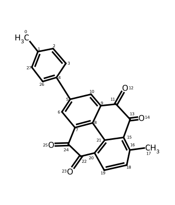 Cc1ccc(-c2cc3c4c(c2)c(=O)c(=O)c2c(C)ccc(c2-4)c(=O)c3=O)cc1